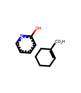 O=C(O)C1=CCCCC1.Oc1ccccn1